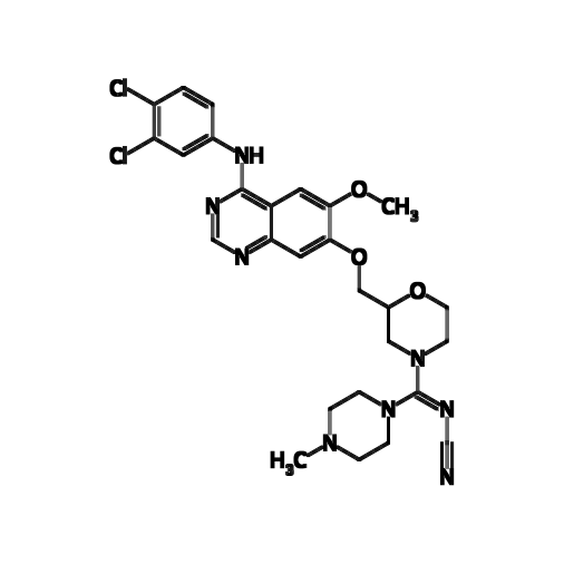 COc1cc2c(Nc3ccc(Cl)c(Cl)c3)ncnc2cc1OCC1CN(C(=NC#N)N2CCN(C)CC2)CCO1